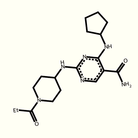 CCC(=O)N1CCC(Nc2ncc(C(N)=O)c(NC3CCCC3)n2)CC1